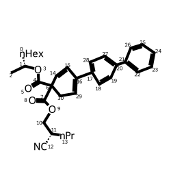 CCCCCC[C@@H](C)OC(=O)C1(C(=O)OC[C@@H](C#N)CCC)C=CC(c2ccc(-c3ccccc3)cc2)=CC1